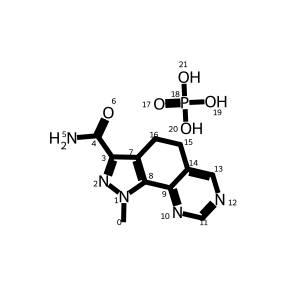 Cn1nc(C(N)=O)c2c1-c1ncncc1CC2.O=P(O)(O)O